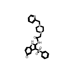 O=C(CN1CCN(Cc2ccccn2)CC1)Nc1[nH]c2ccc(Cl)cc2c1S(=O)(=O)c1ccccc1